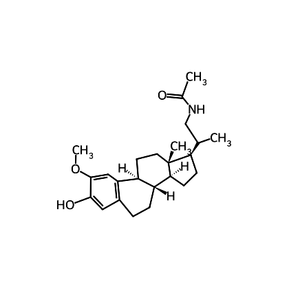 COc1cc2c(cc1O)CC[C@@H]1[C@@H]2CC[C@]2(C)[C@@H](C(C)CNC(C)=O)CC[C@@H]12